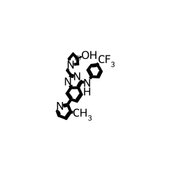 Cc1cccnc1-c1ccc2c(Nc3ccc(C(F)(F)F)cc3)nc(CN3CC[C@@H](O)C3)nc2c1